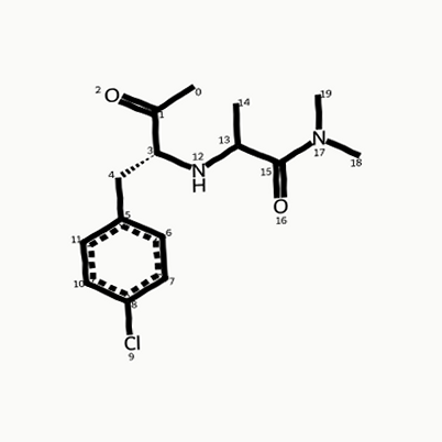 CC(=O)[C@@H](Cc1ccc(Cl)cc1)NC(C)C(=O)N(C)C